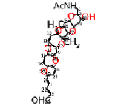 CC(=O)NCC1OC2CC3(C)OC4C=CC5OC6C=CC7OC(/C=C/C=C/C=O)C=CC7OC6CC5OC4(C)CC3OC2CC1O